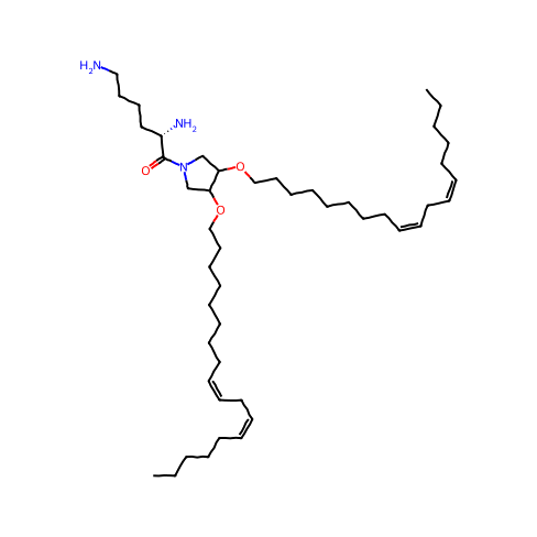 CCCCC/C=C\C/C=C\CCCCCCCCOC1CN(C(=O)[C@@H](N)CCCCN)CC1OCCCCCCCC/C=C\C/C=C\CCCCC